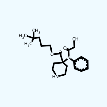 CCC(=O)N(c1ccccc1)C1(C(=O)OCCCC(C)(C)C)CCNCC1